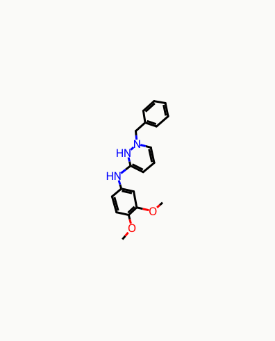 COc1ccc(NC2=CC=CN(Cc3ccccc3)N2)cc1OC